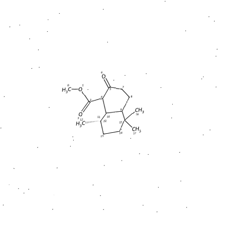 COC(=O)C1C(=O)CCC2C1[C@@H](C)CCC2(C)C